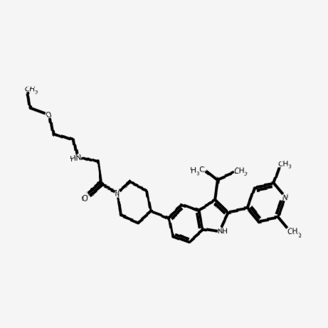 CCOCCNCC(=O)N1CCC(c2ccc3[nH]c(-c4cc(C)nc(C)c4)c(C(C)C)c3c2)CC1